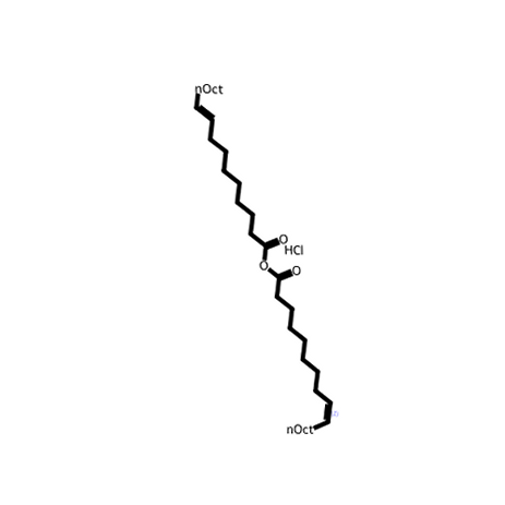 CCCCCCCCC=CCCCCCCCC(=O)OC(=O)CCCCCCC/C=C\CCCCCCCC.Cl